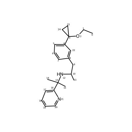 CCOC1(c2cccc(CC(C)NC(C)(C)c3ccccn3)c2)CC1